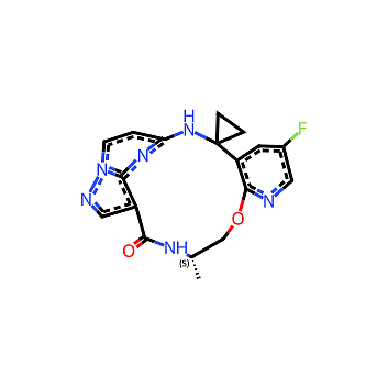 C[C@H]1COc2ncc(F)cc2C2(CC2)Nc2ccn3ncc(c3n2)C(=O)N1